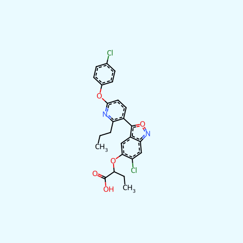 CCCc1nc(Oc2ccc(Cl)cc2)ccc1-c1onc2cc(Cl)c(OC(CC)C(=O)O)cc12